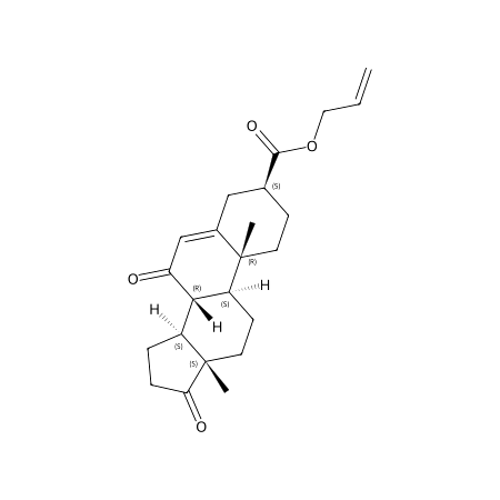 C=CCOC(=O)[C@H]1CC[C@@]2(C)C(=CC(=O)[C@@H]3[C@@H]2CC[C@]2(C)C(=O)CC[C@@H]32)C1